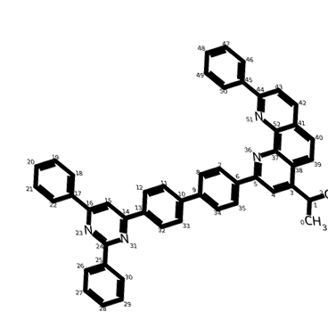 CC(C)c1cc(-c2ccc(-c3ccc(-c4cc(-c5ccccc5)nc(-c5ccccc5)n4)cc3)cc2)nc2c1ccc1ccc(-c3ccccc3)nc12